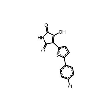 O=C1NC(=O)C(c2ccc(-c3ccc(Cl)cc3)s2)=C1O